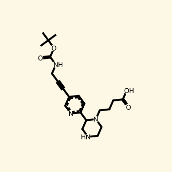 CC(C)(C)OC(=O)NCC#Cc1ccc(C2CNCCN2CCCC(=O)O)nc1